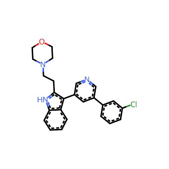 Clc1cccc(-c2cncc(-c3c(CCN4CCOCC4)[nH]c4ccccc34)c2)c1